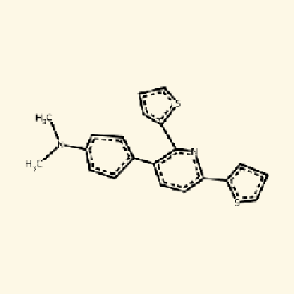 CN(C)c1ccc(-c2ccc(-c3cccs3)nc2-c2cccs2)cc1